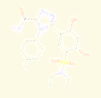 CCN(CC)S(=O)(=O)c1cc(-c2nnc(C(N)=O)n2-c2ccc(C)cc2)c(O)cc1O